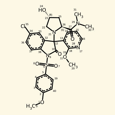 COc1ccc(S(=O)(=O)N2C(=O)C(c3cccnc3OC)(N3C[C@H](O)C[C@H]3C(=O)N(C)C)c3cc(Cl)ccc32)cc1